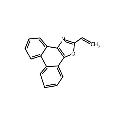 C=Cc1nc2c3ccccc3c3ccccc3c2o1